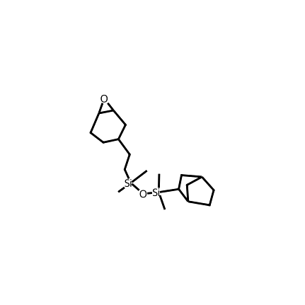 C[Si](C)(CCC1CCC2OC2C1)O[Si](C)(C)C1CC2CCC1C2